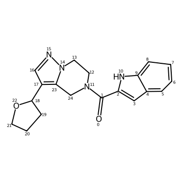 O=C(c1cc2ccccc2[nH]1)N1CCn2ncc(C3CCCO3)c2C1